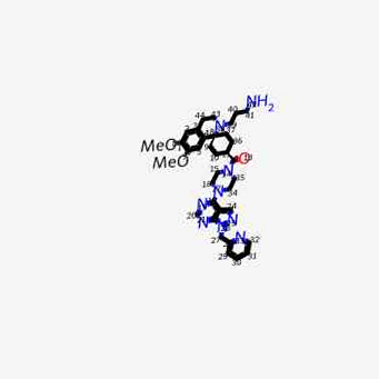 COc1cc2c(cc1OC)[C@]1(CC[C@H](C(=O)N3CCN(c4ncnc5c4cnn5Cc4ccccn4)CC3)CC1)N(CCCN)CC2